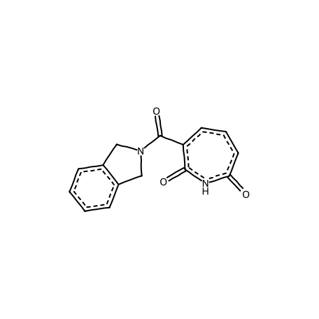 O=C(c1cccc(=O)[nH]c1=O)N1Cc2ccccc2C1